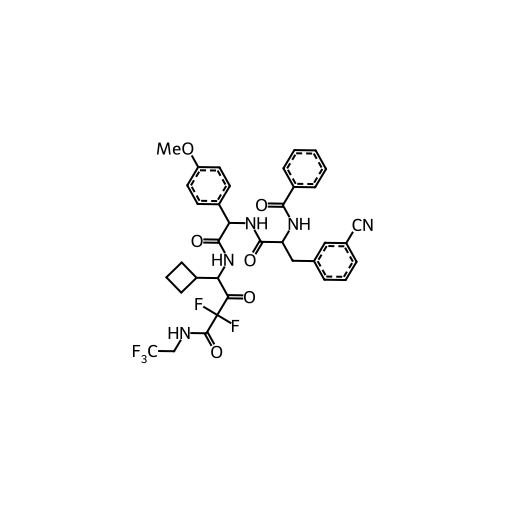 COc1ccc(C(NC(=O)C(Cc2cccc(C#N)c2)NC(=O)c2ccccc2)C(=O)NC(C(=O)C(F)(F)C(=O)NCC(F)(F)F)C2CCC2)cc1